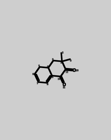 CC1(C)CC2CC=CC=C2C(=O)C1=O